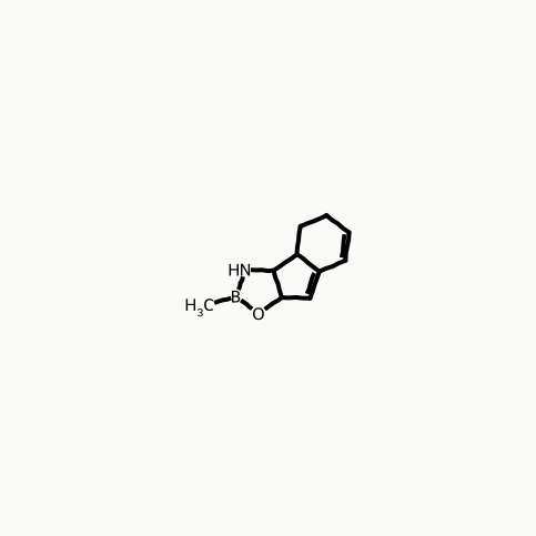 CB1NC2C(C=C3C=CCCC32)O1